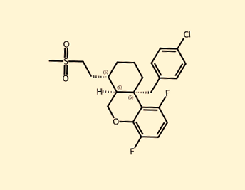 CS(=O)(=O)CC[C@@H]1CCC[C@@]2(Cc3ccc(Cl)cc3)c3c(F)ccc(F)c3OC[C@@H]12